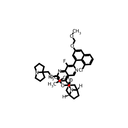 COCOc1cc(-c2ncc3c(N4C[C@H]5CC[C@@H](C4)N5C(=O)OC(C)(C)C)nc(OCC45CCCN4CCC5)nc3c2F)c2c(Cl)cccc2c1